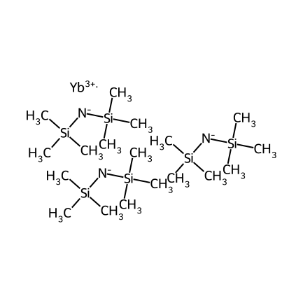 C[Si](C)(C)[N-][Si](C)(C)C.C[Si](C)(C)[N-][Si](C)(C)C.C[Si](C)(C)[N-][Si](C)(C)C.[Yb+3]